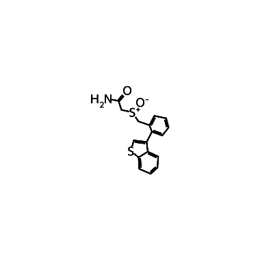 NC(=O)C[S+]([O-])Cc1ccccc1-c1csc2ccccc12